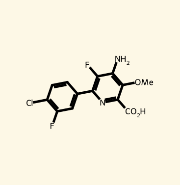 COc1c(C(=O)O)nc(-c2ccc(Cl)c(F)c2)c(F)c1N